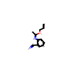 C=CCOC(C)=Nc1ccccc1C#N